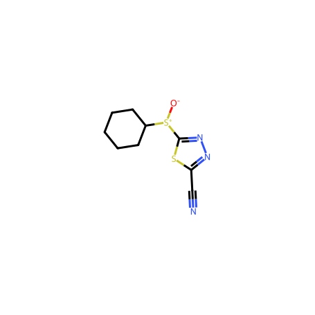 N#Cc1nnc([S+]([O-])C2CCCCC2)s1